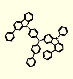 c1ccc(-c2ccc(N(c3ccc(-n4c5ccccc5c5ccc(-c6ccccc6)cc54)cc3)c3ccc4c(c3)c3c(-c5ccccc5)cccc3n4-c3ccccc3)cc2)cc1